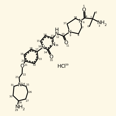 CC(C)(N)C(=O)N1CCN(C(=O)Nc2ccn(-c3ccc(OCCN4CCCC(N)CC4)cc3)c(=O)n2)CC1.Cl